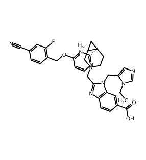 CCn1cncc1Cn1c(CN2CC[C@]3(c4nccc(OCc5ccc(C#N)cc5F)n4)C[C@@H]3C2)nc2ccc(C(=O)O)cc21